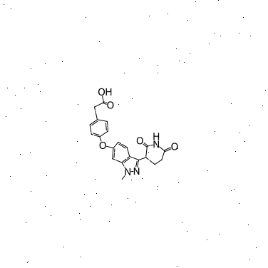 Cn1nc(C2CCC(=O)NC2=O)c2ccc(Oc3ccc(CC(=O)O)cc3)cc21